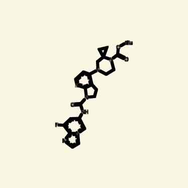 CC(C)(C)OC(=O)N1CCN(c2ccnc3c2CCN3C(=O)Nc2cc(F)c3nccn3c2)CC12CC2